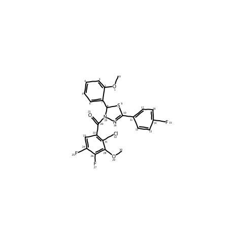 COc1ccccc1C1SC(c2ccc(F)cc2)=NN1C(=O)c1cc(F)c(F)c(OC)c1Cl